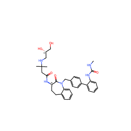 CNC(=O)Nc1ccccc1-c1ccc(CN2C(=O)[C@H](NC(=O)CC(C)(C)NC[C@H](O)CO)CCc3ccccc32)cc1